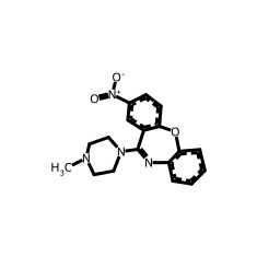 CN1CCN(C2=Nc3ccccc3Oc3ccc([N+](=O)[O-])cc32)CC1